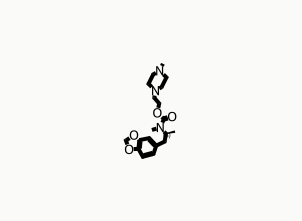 C[C@@H](Cc1ccc2c(c1)OCO2)N(C)C(=O)OCCN1CCN(C)CC1